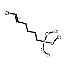 CC/C=C/CCCC[Si](OCC)(OCC)OCC